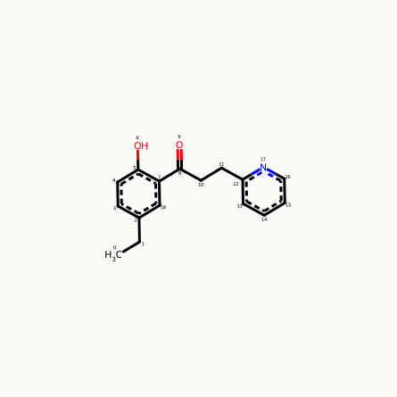 CCc1ccc(O)c(C(=O)CCc2ccccn2)c1